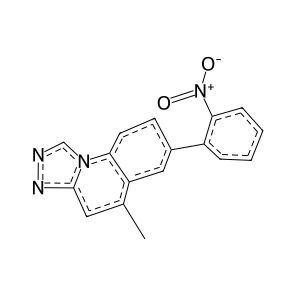 Cc1cc2nncn2c2ccc(-c3ccccc3[N+](=O)[O-])cc12